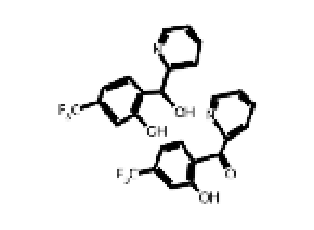 O=C(c1ccccn1)c1ccc(C(F)(F)F)cc1O.Oc1cc(C(F)(F)F)ccc1C(O)c1ccccn1